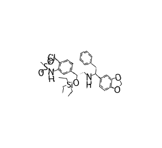 CC[Si](CC)(CC)O[C@@H](CNC(Cc1ccccc1)c1ccc2c(c1)OCO2)c1ccc(Cl)c(NS(C)(=O)=O)c1